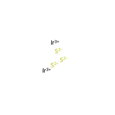 [Ir+3].[Ir+3].[S-2].[S-2].[S-2]